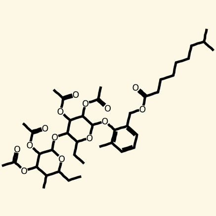 CCC1OC(OC2C(CC)OC(Oc3c(C)cccc3COC(=O)CCCCCCC(C)C)C(OC(C)=O)C2OC(C)=O)C(OC(C)=O)C(OC(C)=O)C1C